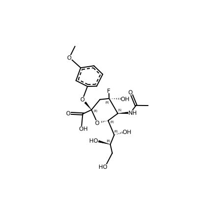 COc1cccc(O[C@@]2(C(=O)O)C[C@@](O)(F)[C@@H](NC(C)=O)[C@H]([C@H](O)[C@H](O)CO)O2)c1